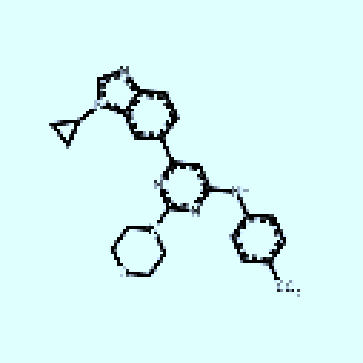 O=C(O)c1ccc(Nc2cc(-c3ccc4ncn(C5CC5)c4c3)nc(N3CCOCC3)n2)cc1